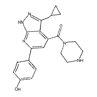 O=C(c1cc(-c2ccc(O)cc2)nc2[nH]nc(C3CC3)c12)N1CCNCC1